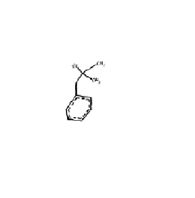 C[CH]C(C)(C)Cc1ccccc1